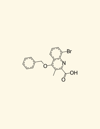 Cc1c(C(=O)O)nc2c(Br)cccc2c1OCc1ccccc1